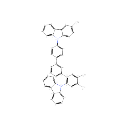 N#Cc1ccc2c(c1)c1ccccc1n2-c1ccc(-c2cccc(-c3cc(C#N)c(C#N)cc3-n3c4ccccc4c4ccccc43)c2)cc1